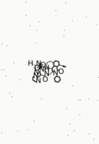 C#Cc1ccc2c3c(c([C@H](C)NC(=O)c4c(NS(N)(=O)=O)nn5cccnc45)n(-c4ccccc4)c(=O)c13)CCCC2